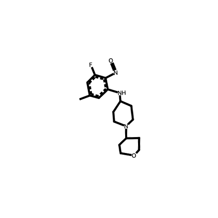 Cc1cc(F)c(N=O)c(NC2CCN(C3CCOCC3)CC2)c1